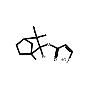 CCC1(OC(=O)/C=C\C(=O)O)C2(C)CCC(C2)C1(C)C